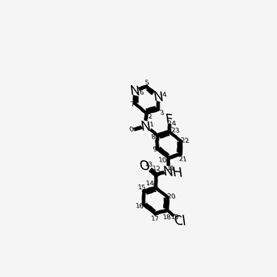 CN(c1cncnc1)c1cc(NC(=O)c2cccc(Cl)c2)ccc1F